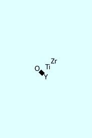 [O]=[Y].[Ti].[Zr]